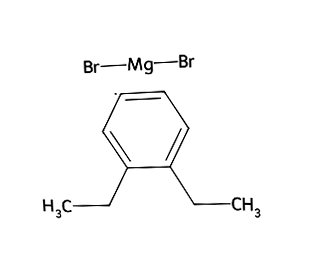 CCc1c[c]ccc1CC.[Br][Mg][Br]